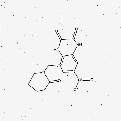 O=C1CCCCN1Cc1cc([N+](=O)[O-])cc2[nH]c(=O)c(=O)[nH]c12